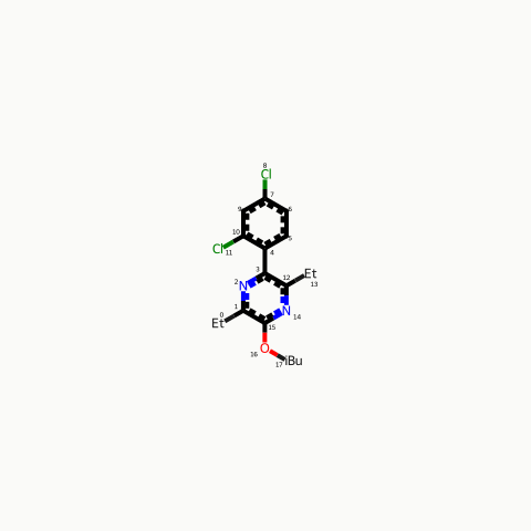 CCc1nc(-c2ccc(Cl)cc2Cl)c(CC)nc1OC(C)CC